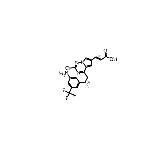 C[C@@H](Cc1nc(Cl)nn2cc(/C=C/C(=O)O)cc12)c1cc(N)cc(C(F)(F)F)c1